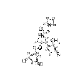 Cc1cc(F)ccc1C1CN(C(=O)CN2CCCC2)CCC1OCc1cc(Cl)cc(Cl)c1